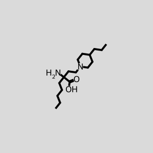 CCCCCC(N)(CCN1CCC(CCC)CC1)C(=O)O